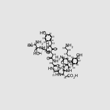 CC[C@H](C)[C@H](N)C(=O)N[C@@H](CO)C(=O)N[C@@H](Cc1ccc(O)cc1)C(=O)NCC(=O)NCC(=O)N[C@@H](C)C(=O)N[C@@H](CC(=O)O)C(=O)N[C@@H](Cc1ccc(O)cc1)C(=O)N[C@@H](CCCCN)C(N)=O